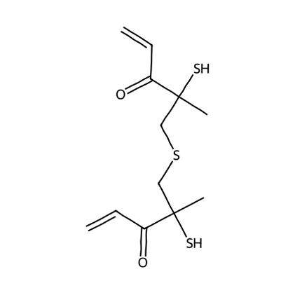 C=CC(=O)C(C)(S)CSCC(C)(S)C(=O)C=C